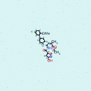 COc1ccc(F)cc1-c1ccc(C[C@H](C[C@H](C)C2OC(C)O2)NC(=O)c2cc(O)no2)cc1